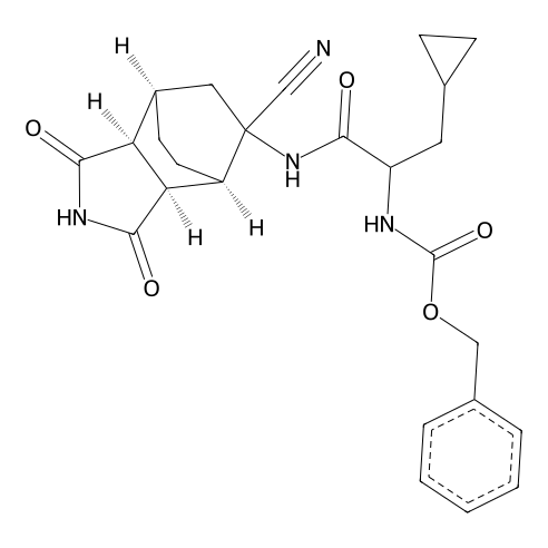 N#CC1(NC(=O)C(CC2CC2)NC(=O)OCc2ccccc2)C[C@H]2CC[C@@H]1[C@H]1C(=O)NC(=O)[C@@H]21